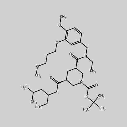 CCN(Cc1ccc(OC)c(OCCCOC)c1)C(=O)[C@@H]1C[C@H](C(=O)CC(CO)CC(C)C)CN(C(=O)OC(C)(C)C)C1